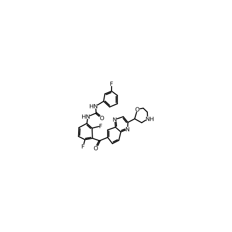 O=C(Nc1cccc(F)c1)Nc1ccc(F)c(C(=O)c2ccc3nc(C4CNCCO4)cnc3c2)c1F